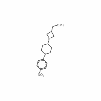 COCC1CN(C2CCN(c3ccc([N+](=O)[O-])cc3)CC2)C1